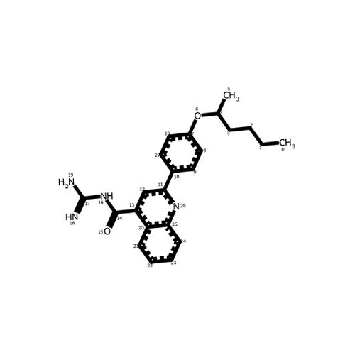 CCCCC(C)Oc1ccc(-c2cc(C(=O)NC(=N)N)c3ccccc3n2)cc1